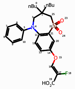 CCCCC1(CCCC)CN(c2ccccc2)c2ccc(O/C=C(\F)C(=O)O)cc2S(=O)(=O)C1